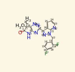 CC1(C)C(=O)Nc2nc(-c3nn(Cc4ccc(F)cc4F)c4ncccc34)nnc21